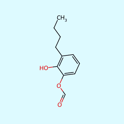 CCCCc1cccc(OC=O)c1O